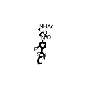 C/C=C\c1nnc(-c2ccc(N3C[C@H](CNC(C)=O)OC3=O)cc2F)s1